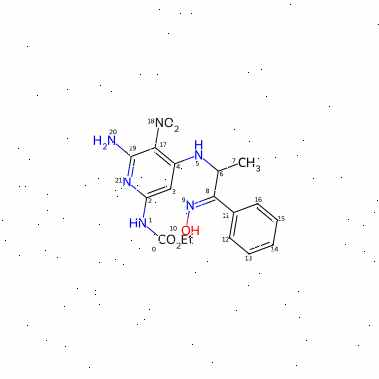 CCOC(=O)Nc1cc(NC(C)C(=NO)c2ccccc2)c([N+](=O)[O-])c(N)n1